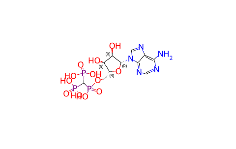 Nc1ncnc2c1ncn2[C@@H]1O[C@H](COP(=O)(O)C(P(=O)(O)O)P(=O)(O)O)[C@@H](O)[C@H]1O